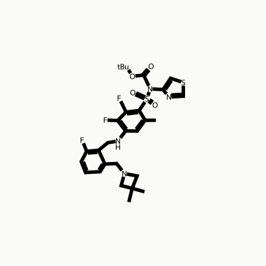 Cc1cc(NCc2c(F)cccc2CN2CC(C)(C)C2)c(F)c(F)c1S(=O)(=O)N(C(=O)OC(C)(C)C)c1cscn1